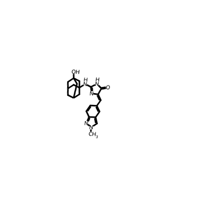 Cn1cc2cc(/C=C3\N=C(NC45CC6CC(CC(O)(C6)C4)C5)NC3=O)ccc2n1